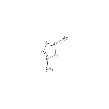 CC(=O)C1=CC=C(C)C1